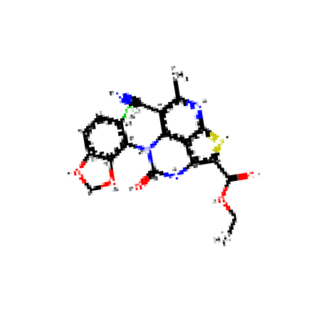 CCOC(=O)c1sc2nc(C)c(C#N)c3c2c1NC(=O)N3c1c(Cl)ccc2c1OCO2